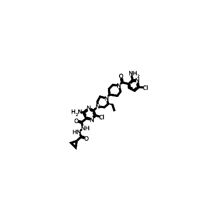 CC[C@H]1CN(c2nc(N)c(C(=O)NNC(=O)C3CC3)nc2Cl)CCN1C1CCN(C(=O)c2ccc(Cl)nc2N)CC1